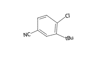 CC(C)(C)c1cc(C#N)ccc1Cl